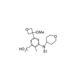 CCN(c1cc(C2(OC)COC2)cc(C(=O)O)c1C)C1CCOCC1